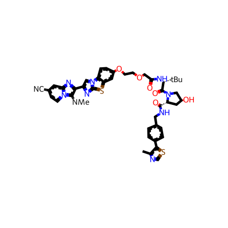 CNc1c(-c2cn3c(n2)sc2cc(OCCOCC(=O)N[C@@H](C(=O)N4C[C@@H](O)C[C@@H]4C(=O)NCc4ccc(-c5scnc5C)cc4)C(C)(C)C)ccc23)nc2cc(C#N)ccn12